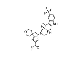 COC(=O)c1csc(C2(CCN3CC[C@@H]4Cc5[nH]c6ccc(C(F)(F)F)cc6c5[C@H](C)[C@H]4C3)CCOCC2)n1